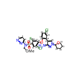 COCN(c1cccnn1)S(=O)(=O)c1cc(Cl)c(Oc2ccc(Cl)cc2-c2cn(C3CCCCO3)nc2N)cc1F